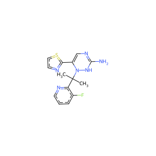 CC(C)(c1ncccc1F)N1NC(N)=NC=C1c1nccs1